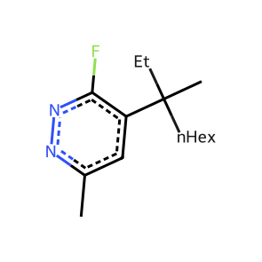 CCCCCCC(C)(CC)c1cc(C)nnc1F